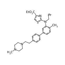 CCOC(=O)c1csc(N(CC(C)C)c2cc(-c3ccc(CCN4CCN(C)CC4)cc3)ccc2C)n1